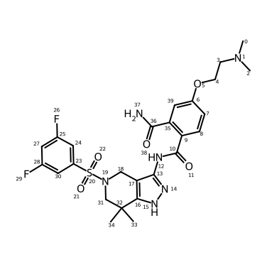 CN(C)CCOc1ccc(C(=O)Nc2n[nH]c3c2CN(S(=O)(=O)c2cc(F)cc(F)c2)CC3(C)C)c(C(N)=O)c1